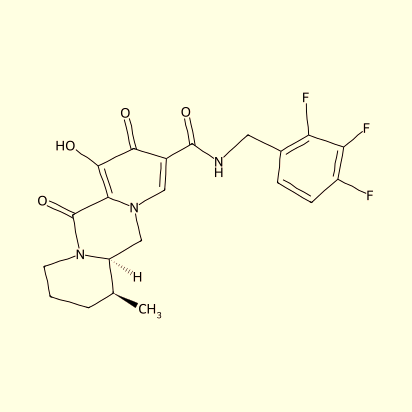 C[C@H]1CCCN2C(=O)c3c(O)c(=O)c(C(=O)NCc4ccc(F)c(F)c4F)cn3C[C@@H]12